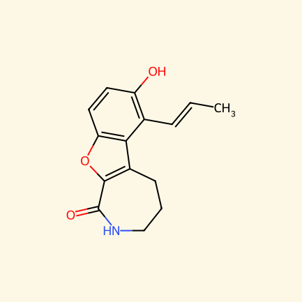 CC=Cc1c(O)ccc2oc3c(c12)CCCNC3=O